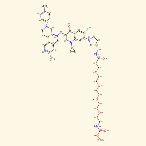 Cc1ccc(N2CCC[C@H](N(Cc3ccnc(C)c3)Cc3cn(C4CC4)c4cc(N5CC[C@H](CNC(=O)CCOCCOCCOCCOCCNC(=O)OC(C)(C)C)C5)c(F)cc4c3=O)C2)cn1